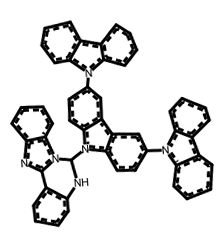 c1ccc2c(c1)NC(n1c3ccc(-n4c5ccccc5c5ccccc54)cc3c3cc(-n4c5ccccc5c5ccccc54)ccc31)n1c-2nc2ccccc21